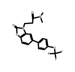 CN(C)C(=O)CCn1c(=O)oc2ccc(-c3ccc(OC(F)(F)F)cc3)cc21